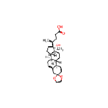 C=C(CCC(=O)O)[C@]1(O)CC[C@H]2[C@@H]3CC=C4CC5(CC[C@@H]4[C@H]3CC[C@@]21C)OCCO5